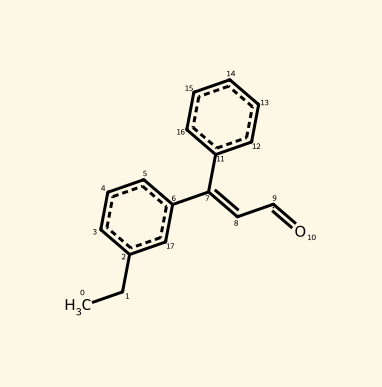 CCc1cccc(C(=C[C]=O)c2ccccc2)c1